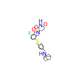 O=C1CCC(N2Cc3c(SCc4ccc(CNC56CC7CC(CC(C7)C5)C6)cc4)ccc(F)c3C2=O)C(=O)N1